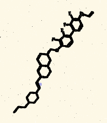 CCCC1CCC(/C=C/C2CCC3CC(COc4ccc(-c5ccc(OCC)c(F)c5F)c(F)c4F)CCC3C2)CC1